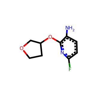 Nc1ccc(F)nc1OC1CCOC1